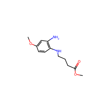 COC(=O)CCCNc1ccc(OC)cc1N